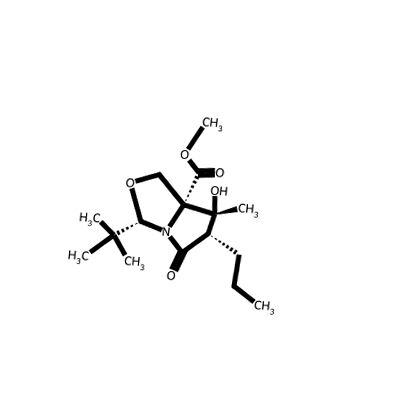 CCC[C@@H]1C(=O)N2[C@H](C(C)(C)C)OC[C@@]2(C(=O)OC)[C@]1(C)O